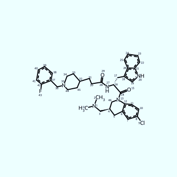 CN(C)C[C@@H]1Cc2cc(Cl)ccc2N(C(=O)[C@@H](Cc2c[nH]c3ccccc23)NC(=O)CCC2CCN(Cc3ccccc3F)CC2)C1